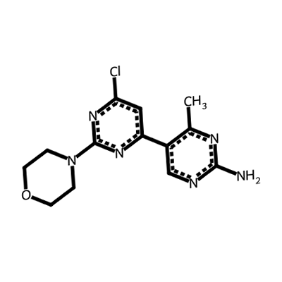 Cc1nc(N)ncc1-c1cc(Cl)nc(N2CCOCC2)n1